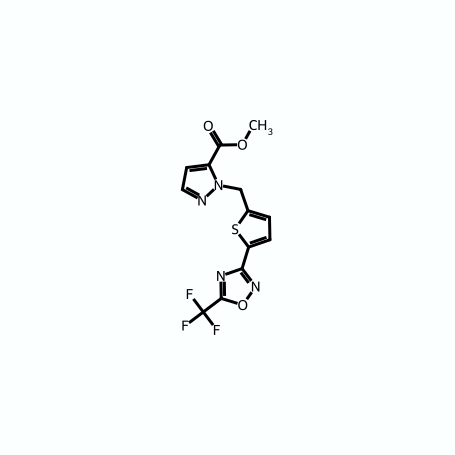 COC(=O)c1ccnn1Cc1ccc(-c2noc(C(F)(F)F)n2)s1